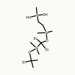 CCC(C)(C)O[Si](C)(C)C(CC)(CC)O[Si](C)(C)CC[Si](C)(O)O